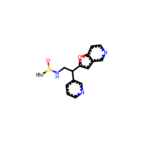 CC(C)(C)[S+]([O-])NCC(c1cccnc1)c1cc2cnccc2o1